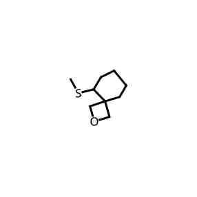 CSC1CCCCC12COC2